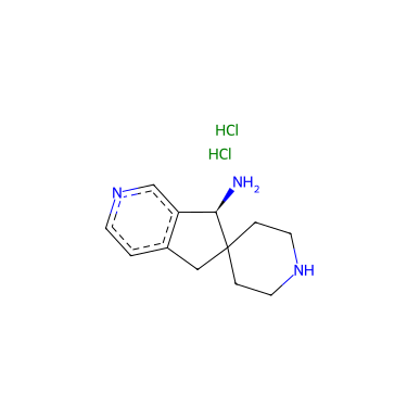 Cl.Cl.N[C@@H]1c2cnccc2CC12CCNCC2